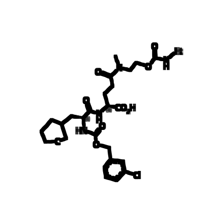 CCNC(=O)OCCN(C)C(=O)CC[C@H](NC(=O)[C@H](CC1CCCCC1)NC(=O)OCc1cccc(Cl)c1)C(=O)O